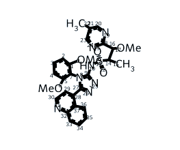 COc1cccc(OC)c1-n1c(NS(=O)(=O)C(C)C(OC)c2ncc(C)cn2)nnc1-c1ccnc2ccccc12